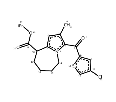 Cc1cc2n(c1C(=O)c1cc(Cl)cs1)CCCCC2C(=O)OC(C)C